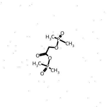 CP(C)(=O)OCC(=O)OP(C)(C)=O